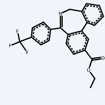 CCOC(=O)c1ccc2c(c1)-c1ccccc1CN=C2c1ccc(C(F)(F)F)cc1